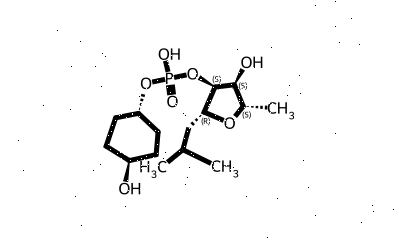 CC(C)C[C@H]1O[C@@H](C)[C@H](O)[C@@H]1OP(=O)(O)O[C@H]1CC[C@H](O)CC1